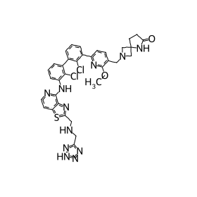 COc1nc(-c2cccc(-c3cccc(Nc4nccc5sc(CNCc6nn[nH]n6)nc45)c3Cl)c2Cl)ccc1CN1CC2(CCC(=O)N2)C1